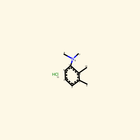 Cc1cccc(N(C)C)c1C.Cl